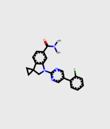 CCCN(CCC)C(=O)c1ccc2c(c1)N(c1ncc(-c3ccccc3F)cn1)CC21CC1